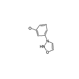 [O]c1cccc(N2C=CON2)c1